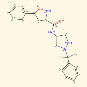 CC(C)(c1ccccc1)N1CC(NC(=O)C2CC(c3ccccc3)ON2)CN1